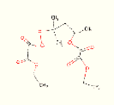 CCOC(=O)C(=O)OOC(C)(C)CC(C)OC(=O)C(=O)OCC